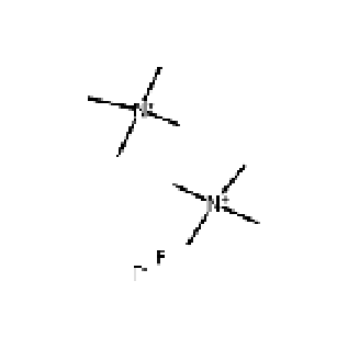 C[N+](C)(C)C.C[N+](C)(C)C.[F-].[F-]